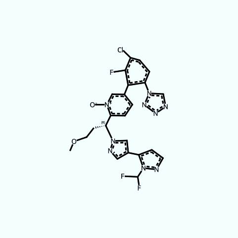 COCC[C@H](c1ccc(-c2c(-n3cnnn3)ccc(Cl)c2F)c[n+]1[O-])n1cc(-c2ccnn2C(F)F)cn1